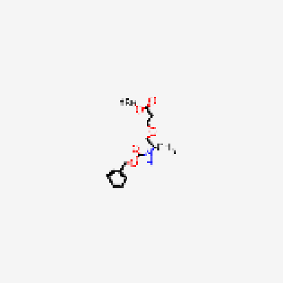 CC(COCCC(=O)OC(C)(C)C)NC(=O)OCc1ccccc1